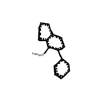 CCCCCc1c(-c2ccccc2)ccc2ccccc12